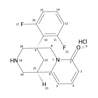 Cl.O=c1cccc2n1C[C@]1(c3c(F)cccc3F)CNC[C@H]2C1